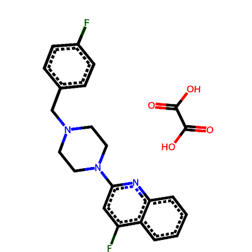 Fc1ccc(CN2CCN(c3cc(F)c4ccccc4n3)CC2)cc1.O=C(O)C(=O)O